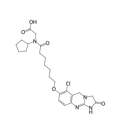 O=C(O)CN(C(=O)CCCCCCOc1ccc2c(c1Cl)CN1CC(=O)NC1=N2)C1CCCC1